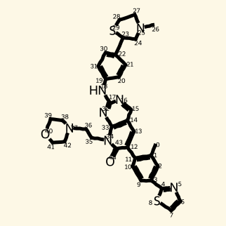 Cc1cc(-c2nccs2)ccc1-c1cc2cnc(Nc3ccc(C4CN(C)CCS4)cc3)nc2n(CCN2CCOCC2)c1=O